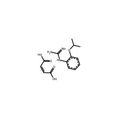 CC(C)Oc1ccccc1NC(=N)N.O=C(O)/C=C\C(=O)O